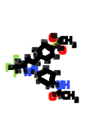 CC(=O)Nc1ccc(-n2nc(C(F)(F)F)cc2-c2ccc(S(C)(=O)=O)cc2)cc1